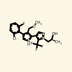 COCc1c(-c2c(F)cccc2Cl)c[nH]c1-c1cnn(C[C@H](C)O)c1C(F)(F)F